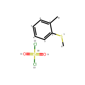 CSc1ccccc1C.O=S(=O)(Cl)Cl